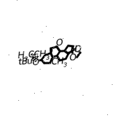 CC(C)(C)[Si](C)(C)OC1CC[C@@]2(C)C(=CC(=O)C3C2CC[C@@]2(C)C3CCC23OCCO3)C1